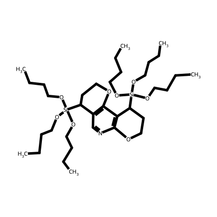 CCCCO[Si](OCCCC)(OCCCC)C1CCOc2c1cnc1c2C([Si](OCCCC)(OCCCC)OCCCC)CCO1